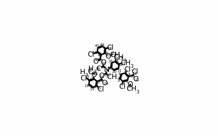 COc1c(Cl)ccc(Cl)c1C(=O)Cl.COc1c(Cl)ccc(Cl)c1C(=O)OC(C)N(c1ccc(C)c(C)c1)C(C)OC(=O)c1c(Cl)ccc(Cl)c1OC